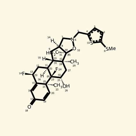 CSc1ccc(CN2C[C@@H]3C[C@H]4[C@@H]5C[C@H](F)C6=CC(=O)C=C[C@]6(C)[C@@]5(F)[C@@H](O)C[C@]4(C)[C@]3(C(=O)O)O2)s1